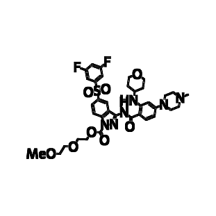 COCCOCCOC(=O)n1nc(NC(=O)c2ccc(N3CCN(C)CC3)cc2NC2CCOCC2)c2cc(S(=O)(=O)c3cc(F)cc(F)c3)ccc21